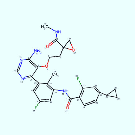 CNC(=O)C1(CCOc2c(N)ncnc2-c2cc(F)cc(NC(=O)c3ccc(C4CC4)cc3F)c2C)CO1